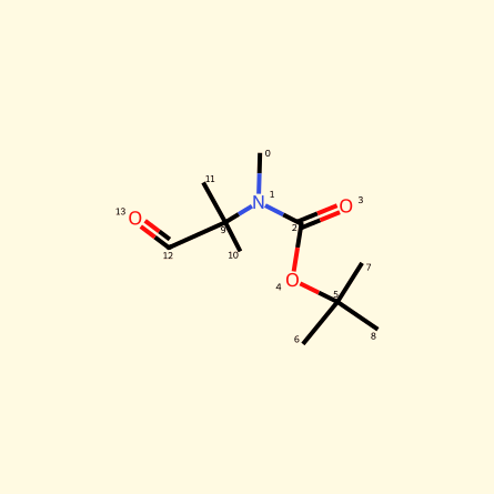 CN(C(=O)OC(C)(C)C)C(C)(C)C=O